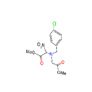 COC(=O)CN(Cc1ccc(Cl)cc1)C(C(=O)OC)[N+](=O)[O-]